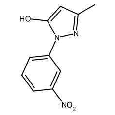 Cc1cc(O)n(-c2cccc([N+](=O)[O-])c2)n1